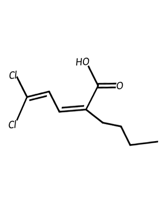 CCCCC(=CC=C(Cl)Cl)C(=O)O